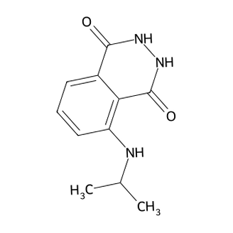 CC(C)Nc1cccc2c(=O)[nH][nH]c(=O)c12